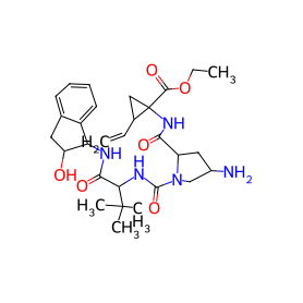 C=CC1CC1(NC(=O)C1CC(N)CN1C(=O)NC(C(=O)NC1c2ccccc2CC1O)C(C)(C)C)C(=O)OCC